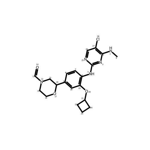 CNc1nc(Nc2ccc(C3CN(C=O)CCO3)cc2OC2CCC2)ncc1Cl